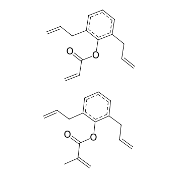 C=CCc1cccc(CC=C)c1OC(=O)C(=C)C.C=CCc1cccc(CC=C)c1OC(=O)C=C